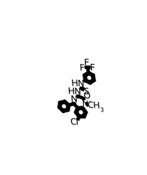 CN1C(=O)C(NC(=S)Nc2cccc(C(F)(F)F)c2)N=C(c2ccccc2)c2cc(Cl)ccc21